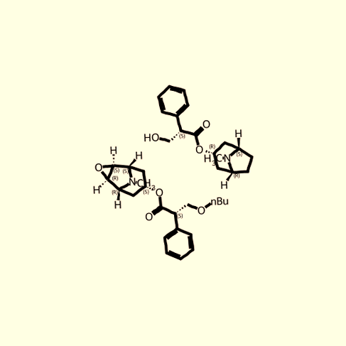 CCCCOC[C@@H](C(=O)O[C@@H]1C[C@@H]2[C@H]3O[C@H]3[C@H](C1)N2C)c1ccccc1.CN1[C@@H]2CC[C@H]1C[C@@H](OC(=O)[C@H](CO)c1ccccc1)C2